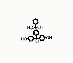 CC(C)(c1ccccc1)c1ccc(C(C)(c2ccc(O)cc2)c2ccc(O)cc2)cc1